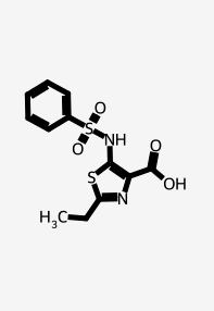 CCc1nc(C(=O)O)c(NS(=O)(=O)c2ccccc2)s1